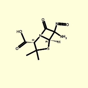 CC1(C)S[C@H]2N(C(=O)C2(N)N=O)[C@H]1C(=O)O